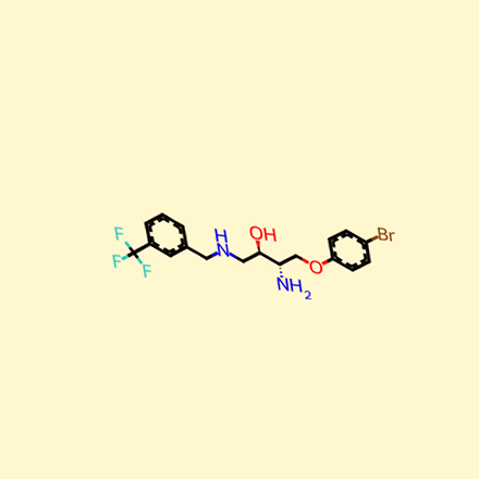 N[C@@H](COc1ccc(Br)cc1)[C@H](O)CNCc1cccc(C(F)(F)F)c1